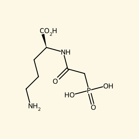 NCCC[C@H](NC(=O)CP(=O)(O)O)C(=O)O